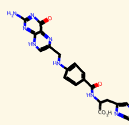 Nc1nc2[nH]cc(CNc3ccc(C(=O)NC(Cc4c[nH]cn4)C(=O)O)cc3)nc-2c(=O)n1